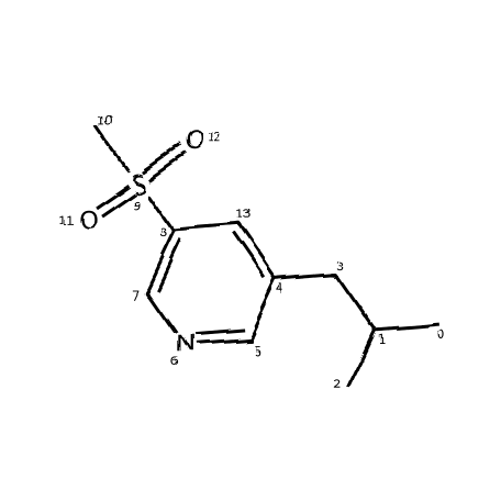 CC(C)Cc1cncc(S(C)(=O)=O)c1